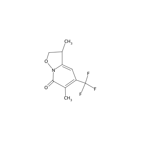 Cc1c(C(F)(F)F)cc2n(c1=O)OCC2C